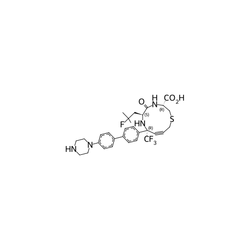 CC(C)(F)C[C@@H]1N[C@@](c2ccc(-c3ccc(N4CCNCC4)cc3)cc2)(C(F)(F)F)C#CCSC[C@@H](C(=O)O)NC1=O